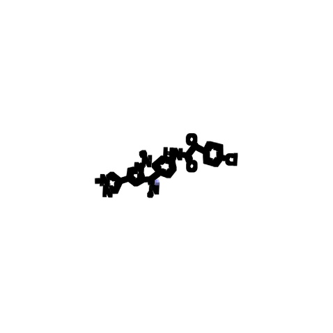 C=Nn1cc(-c2cnn(C)c2)cc1/C(=N\C)c1ccc(NC(=O)C(=O)c2ccc(Cl)cc2)cc1